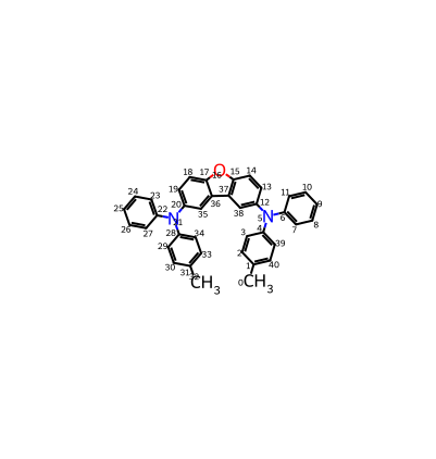 Cc1ccc(N(c2ccccc2)c2ccc3oc4ccc(N(c5ccccc5)c5ccc(C)cc5)cc4c3c2)cc1